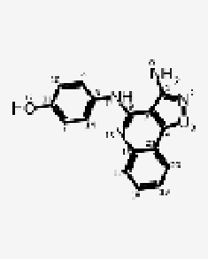 Nc1noc2c1c(Nc1ccc(O)cc1)nc1ccccc12